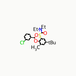 CCN(CC)C(=O)Sc1cc(C(C)(C)C)cc(C)c1OC(=O)c1cccc(Cl)c1